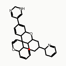 C1=CCC(C2CCC3C(C2)OC2C=C(C4=CNCN=C4)C=CC2C32c3ccccc3OC3C=CC=CC32)N=C1